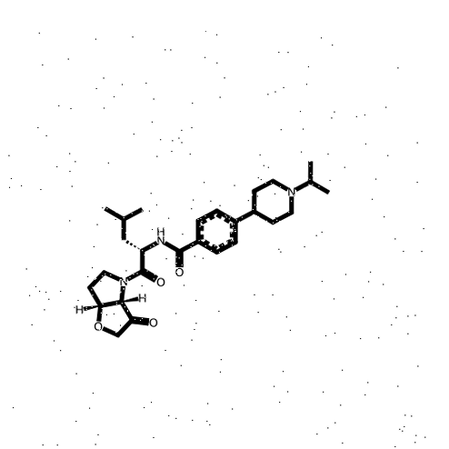 CC(C)C[C@H](NC(=O)c1ccc(C2CCN(C(C)C)CC2)cc1)C(=O)N1CC[C@H]2OCC(=O)[C@H]21